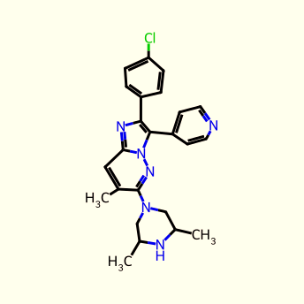 Cc1cc2nc(-c3ccc(Cl)cc3)c(-c3ccncc3)n2nc1N1CC(C)NC(C)C1